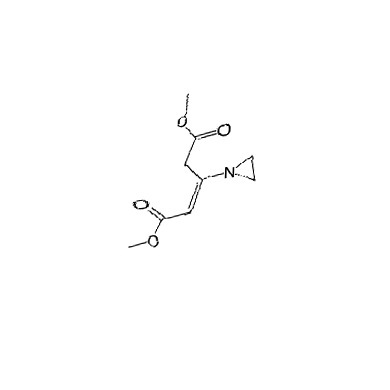 COC(=O)C=C(CC(=O)OC)N1CC1